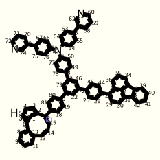 Cc1c2cccc1-c1ccccc1C=C/C=C\2c1ccc(-c2cc(-c3ccc(-c4ccc5c6c(cccc46)-c4ccccc4-5)cc3)cc(-c3ccc(N(c4ccc(-c5cccnc5)cc4)c4ccc(-c5cccnc5)cc4)cc3)c2)cc1